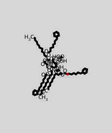 CCCCCCCCCCC[C@H](CC(=O)NC1C(NC(=O)C[C@@H](CCCCCCCCCCC)OC(=O)CCCCCCCc2ccccc2)[C@H](OCP(=O)(O)O)C(CO)O[C@H]1OC[C@H](NC(=O)C[C@@H](CCCCCCCCCCC)OC(=O)CCCCCCCc1ccccc1)C(=O)O)OC(=O)CCCCCCCc1ccccc1